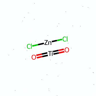 [Cl][Zn][Cl].[O]=[Ti]=[O]